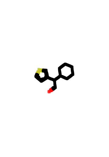 O=CC(c1ccsc1)C1CCCCC1